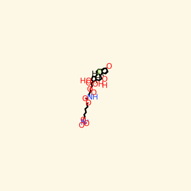 C[C@]12C=CC(=O)C=C1CC[C@H]1[C@@H]3C[C@@H](O)[C@](O)(C(=O)COC(=O)CNC(=O)OCCCCCCO[N+](=O)[O-])[C@@]3(C)C[C@H](O)[C@@]12F